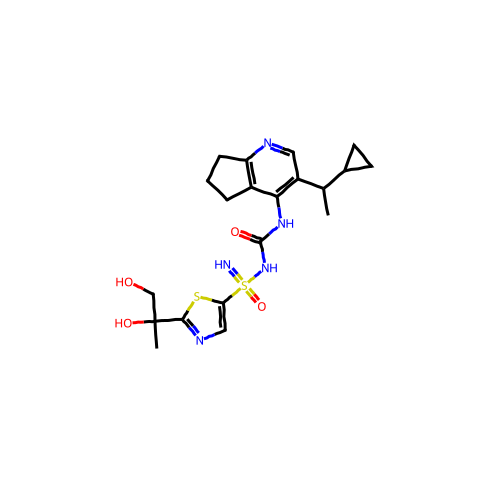 CC(c1cnc2c(c1NC(=O)NS(=N)(=O)c1cnc(C(C)(O)CO)s1)CCC2)C1CC1